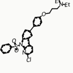 CCN(CC)CCCOc1ccc(-c2ccc3c(c2)c2ccc(Cl)nc2n3S(=O)(=O)c2ccccc2)cc1